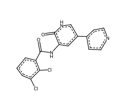 O=C(Nc1cc(-c2ccncc2)c[nH]c1=O)c1cccc(Cl)c1Cl